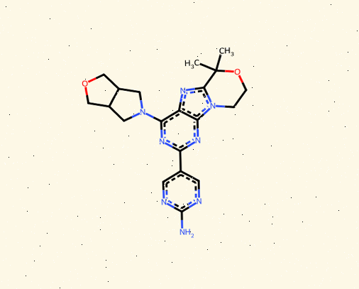 CC1(C)OCCn2c1nc1c(N3CC4COCC4C3)nc(-c3cnc(N)nc3)nc12